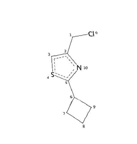 ClCc1csc(C2CCC2)n1